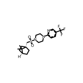 CC1(C)[C@H]2CC[C@]1(CS(=O)(=O)N1CCN(c3ccc(C(F)(F)F)cn3)CC1)CC2